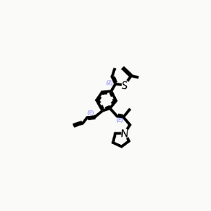 C=C/C=C/c1ccc(/C(=C/C)SC(=C)C)cc1/C=C(\C)CN1CCCC1